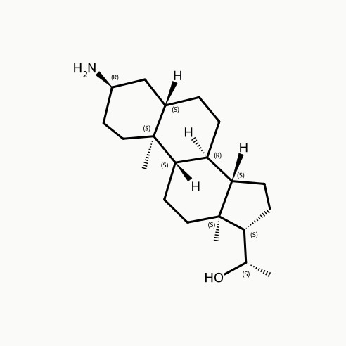 C[C@H](O)[C@H]1CC[C@H]2[C@@H]3CC[C@H]4C[C@H](N)CC[C@]4(C)[C@H]3CC[C@]12C